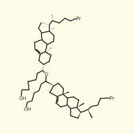 CC(C)CCC[C@@H](C)[C@H]1CCC2C3CC=C4C[C@@H](C(CCCCCO)OC(CCCCCO)[C@H]5CC[C@@]6(C)C(=CCC7C6CC[C@@]6(C)C7CC[C@@H]6[C@H](C)CCCC(C)C)C5)CC[C@]4(C)C3CC[C@@]21C